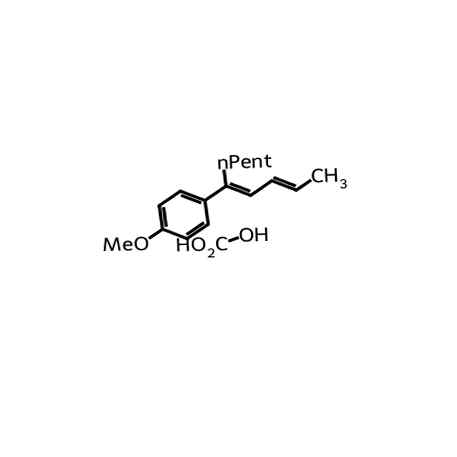 C/C=C/C=C(\CCCCC)c1ccc(OC)cc1.O=C(O)O